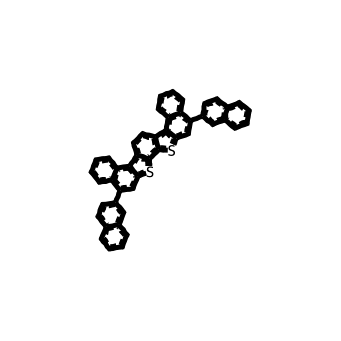 c1ccc2cc(-c3cc4sc5c(ccc6c5sc5cc(-c7ccc8ccccc8c7)c7ccccc7c56)c4c4ccccc34)ccc2c1